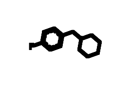 Fc1ccc(C[C]2CCCCC2)cc1